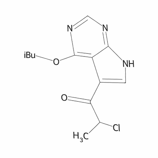 CCC(C)Oc1ncnc2[nH]cc(C(=O)C(C)Cl)c12